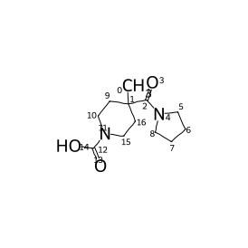 CC1(C(=O)N2CCCC2)CCN(C(=O)O)CC1